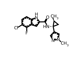 C[C@H]1C[C@@]1(NC(=O)c1cc2c(F)c(Cl)ccc2[nH]1)c1cnn(C)c1